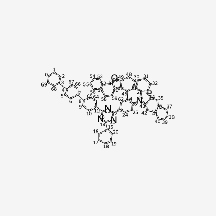 c1ccc(-c2ccc(-c3ccc(-c4nc(-c5ccccc5)nc(-c5ccc(-n6c7ccccc7c7cc8ccccc8cc76)c(-c6cccc7oc8c9ccccc9ccc8c67)c5)n4)cc3)cc2)cc1